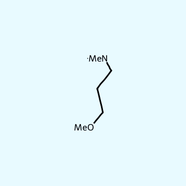 C[N]CCCOC